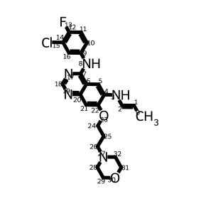 CC=CNc1cc2c(Nc3ccc(F)c(Cl)c3)ncnc2cc1OCCCN1CCOCC1